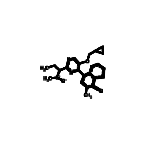 CCN(c1ncc(OCC2CC2)c(-c2cn(C)c(=O)c3ccccc23)n1)[S+](C)[O-]